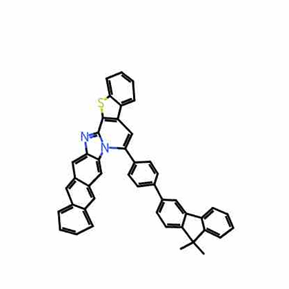 CC1(C)c2ccccc2-c2cc(-c3ccc(-c4cc5c6ccccc6sc5c5nc6cc7cc8ccccc8cc7cc6n45)cc3)ccc21